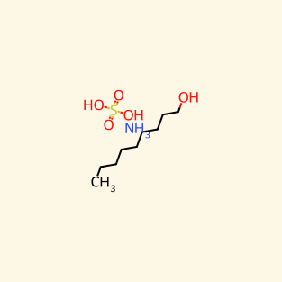 CCCCCCCCCO.N.O=S(=O)(O)O